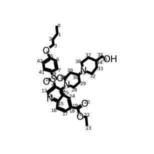 CCCCOc1ccc(S(=O)(=O)c2cnc3ccc(C(=O)OCC)cc3c2N2CCC(N3CCC(CO)CC3)CC2)cc1